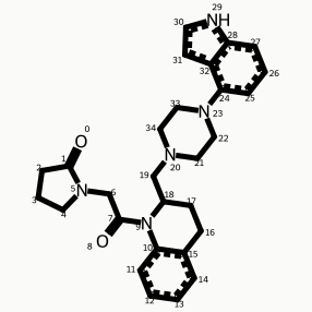 O=C1CCCN1CC(=O)N1c2ccccc2CCC1CN1CCN(c2cccc3[nH]ccc23)CC1